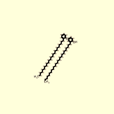 CCCCCCCCCCCCCCCCCCCCCCCCCc1ccccc1O.CCCCCCCCCCCCCCCCCCCCCCCCc1ccccc1O